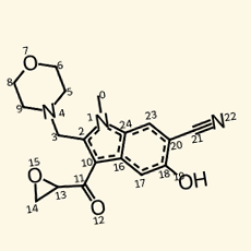 Cn1c(CN2CCOCC2)c(C(=O)C2CO2)c2cc(O)c(C#N)cc21